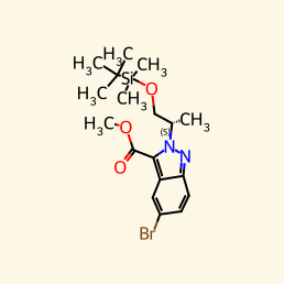 COC(=O)c1c2cc(Br)ccc2nn1[C@@H](C)CO[Si](C)(C)C(C)(C)C